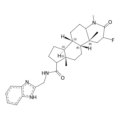 CN1C(=O)C(F)C[C@@]2(C)C1CC[C@@H]1[C@H]2CC[C@]2(C)C(C(=O)NCc3nc4ccccc4[nH]3)CC[C@@H]12